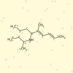 C/C=C/C=C(\C)C(CCC)NC(C)CC